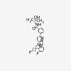 CC(C)(O)CNC(=O)c1cccc(-c2ccc(NC[C@]3(c4ncccc4F)C[C@H](F)C3)nn2)c1